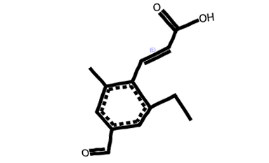 CCc1cc(C=O)cc(C)c1/C=C/C(=O)O